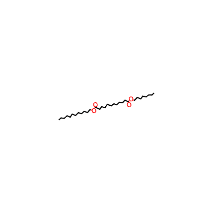 CCCCCCCCCCCCOC(=O)CCCCCCCCCCC(=O)OCCCCCCCC